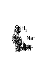 NC(=O)c1nnc(SCC2=C(C(=O)[O-])N3C(=O)C(NC(=O)C(NC(=O)c4nnc(-n5cccn5)nc4O)c4ccccc4)[C@@H]3SC2)s1.[Na+]